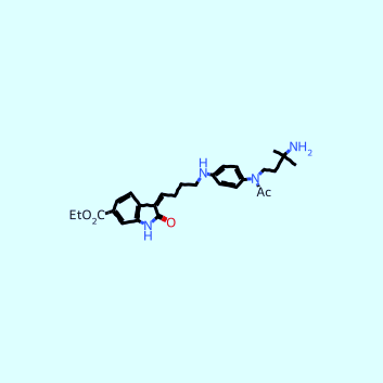 CCOC(=O)c1ccc2c(c1)NC(=O)C2=CCCCNc1ccc(N(CCC(C)(C)N)C(C)=O)cc1